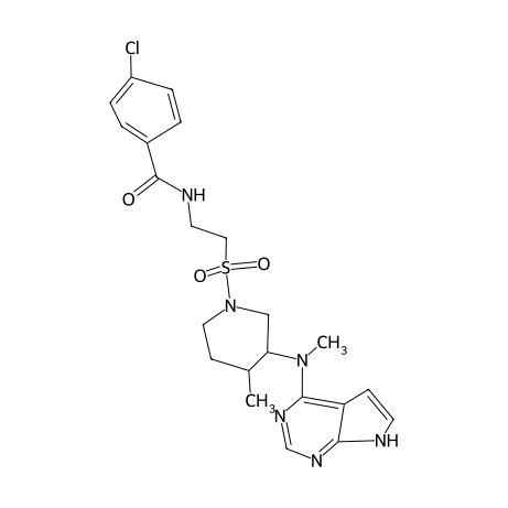 CC1CCN(S(=O)(=O)CCNC(=O)c2ccc(Cl)cc2)CC1N(C)c1ncnc2[nH]ccc12